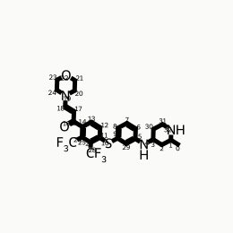 CC1CC(Nc2cccc(Sc3ccc(C(=O)C=CN4CCOCC4)c(C(F)(F)F)c3C(F)(F)F)c2)CCN1